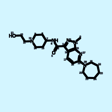 Cn1nc(C(=O)NC2CCN(CCO)CC2)c2ccc(N3CCCCCC3)nc21